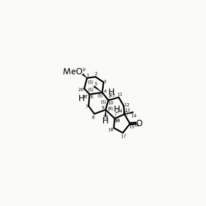 CO[C@H]1CC[C@@]2(C)[C@@H](CC[C@@H]3[C@@H]2CC[C@]2(C)C(=O)CC[C@@H]32)C1